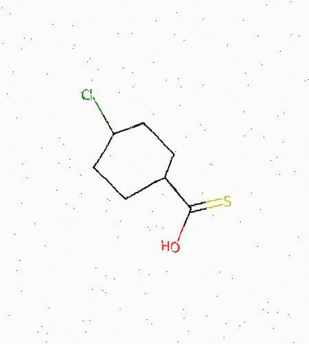 OC(=S)C1CCC(Cl)CC1